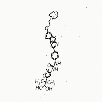 CC(C)(c1cc(NC(=O)Nc2ccc(-c3cn4c(n3)sc3cc(OCCN5CCOCC5)ccc34)cc2)no1)C(O)O